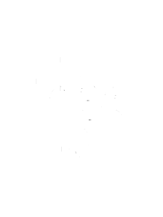 CCOc1ccc2c(c1CNC(C)=O)Oc1cc(OP(=O)(O)O)ccc1C21OC(=O)c2ccccc21